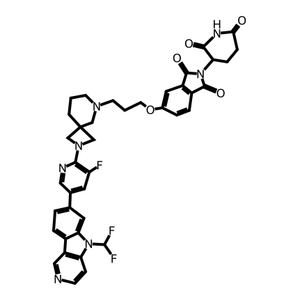 O=C1CCC(N2C(=O)c3ccc(OCCCN4CCCC5(C4)CN(c4ncc(-c6ccc7c8cnccc8n(C(F)F)c7c6)cc4F)C5)cc3C2=O)C(=O)N1